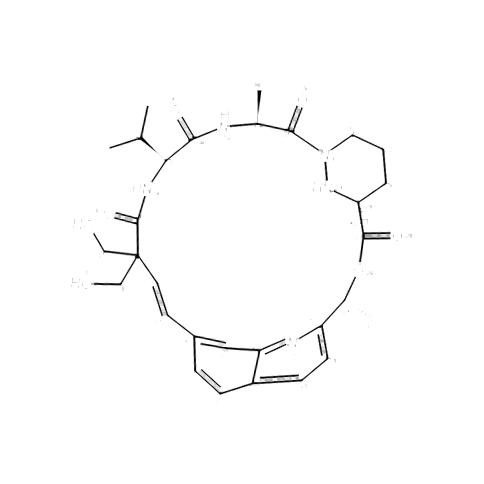 CC(C)[C@@H]1NC(=O)C(CO)(CO)/C=C/c2ccc3ccc(nc3c2)[C@@H](C)OC(=O)[C@@H]2CCCN(N2)C(=O)[C@H](C)NC1=O